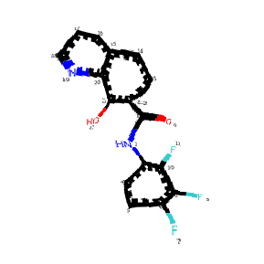 O=C(Nc1ccc(F)c(F)c1F)c1ccc2cccnc2c1O